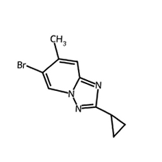 Cc1cc2nc(C3CC3)nn2cc1Br